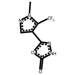 Cn1ncc(-c2n[nH]c(=O)o2)c1C(F)(F)F